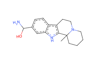 CC12CCCCN1CCc1c2[nH]c2cc(C(N)O)ccc12